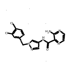 Nc1nccnc1C(=O)Nc1cnn(Cc2ccc(Cl)c(Cl)c2)c1